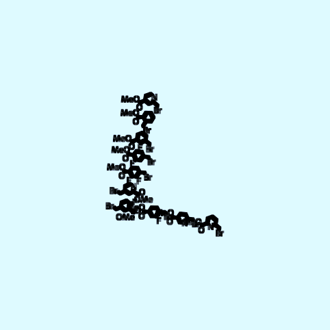 COC(=O)c1cc(CBr)ccc1F.COC(=O)c1cc(CBr)ccn1.COC(=O)c1ccc(CBr)c(F)c1.COC(=O)c1ccc(CBr)c(F)c1F.COC(=O)c1ccc(CBr)cc1F.COC(=O)c1ccc(CBr)nc1.COC(=O)c1cccc(CBr)c1F.COC(=O)c1cccc(CBr)n1.COC(=O)c1ccccc1CBr.COC(=O)c1ccnc(CBr)c1